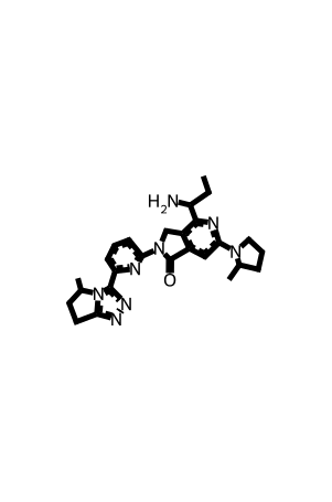 CCC(N)c1nc(N2CCCC2C)cc2c1CN(c1cccc(-c3nnc4n3C(C)CC4)n1)C2=O